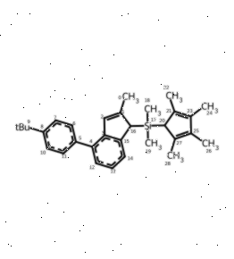 CC1=Cc2c(-c3ccc(C(C)(C)C)cc3)cccc2C1[Si](C)(C)C1C(C)=C(C)C(C)=C1C